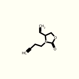 C#CCCN1C(=O)OCC1C=C